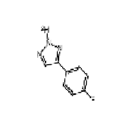 [2H]n1ncc(-c2ccc(F)cc2)n1